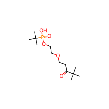 CC(C)(C)C(=O)CCOCCOP(=O)(O)C(C)(C)C